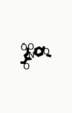 CCOC1(C)C=CC(n2cc(C(C)=O)cc2C(=O)OC)=CC1